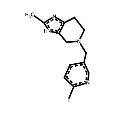 Cc1nc2c([nH]1)CN(Cc1ccc(I)nc1)CC2